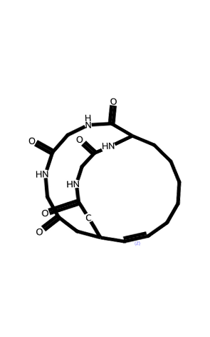 O=C1CNC(=O)CNC(=O)C2CCCCC/C=C\C(C1)CC(=O)NCC(=O)N2